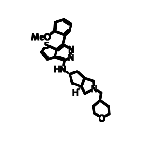 COc1ccccc1-c1nnc(N[C@@H]2CC3CN(CC4CCOCC4)C[C@H]3C2)c2ccsc12